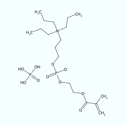 C=C(C)C(=O)OCCOP(=O)([O-])OCCC[N+](CCC)(CCC)CCC.O=P(O)(O)O